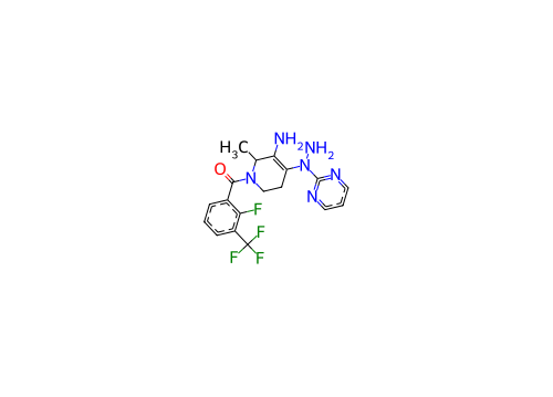 CC1C(N)=C(N(N)c2ncccn2)CCN1C(=O)c1cccc(C(F)(F)F)c1F